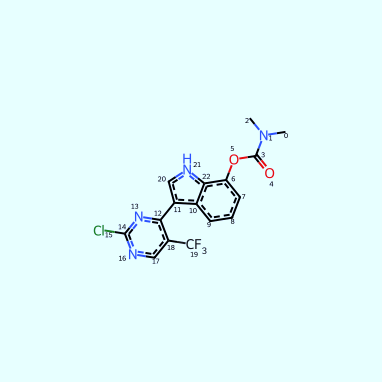 CN(C)C(=O)Oc1cccc2c(-c3nc(Cl)ncc3C(F)(F)F)c[nH]c12